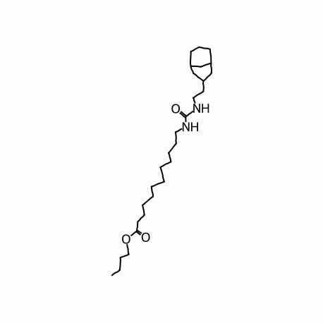 CCCCOC(=O)CCCCCCCCCCCNC(=O)NCCC1CC2CCCC(C2)C1